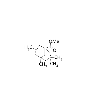 COC(=O)C12CC(C)CC(C)(CC(C)(C)C1)C2